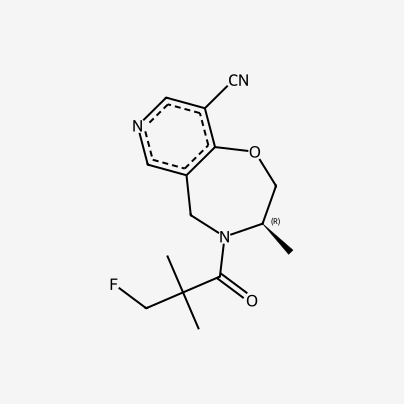 C[C@@H]1COc2c(C#N)cncc2CN1C(=O)C(C)(C)CF